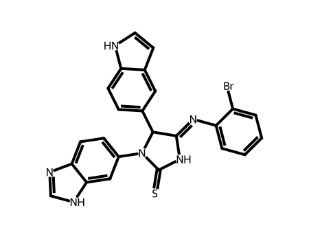 S=C1NC(=Nc2ccccc2Br)C(c2ccc3[nH]ccc3c2)N1c1ccc2nc[nH]c2c1